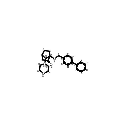 O=C1CC2CCC1(OCc1ccc(-c3ccccc3)cc1)C2N1CCOCC1